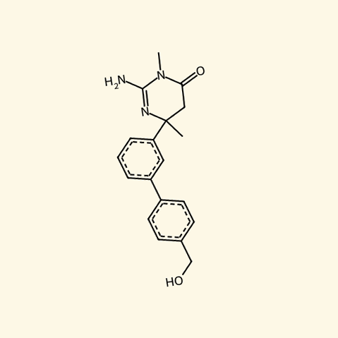 CN1C(=O)CC(C)(c2cccc(-c3ccc(CO)cc3)c2)N=C1N